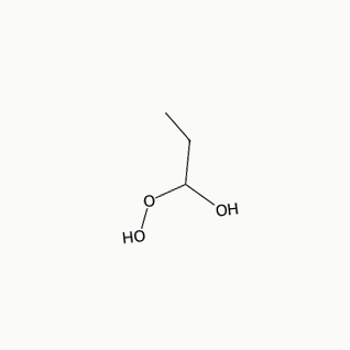 CCC(O)OO